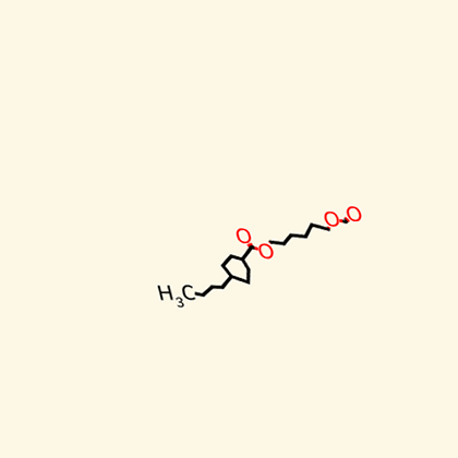 CCCCC1CCC(C(=O)OCCCCCCOC=O)CC1